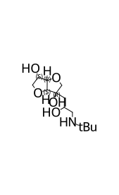 CC(C)(C)NCC(O)C[C@@]1(O)CO[C@@H]2[C@@H](O)CO[C@@H]21